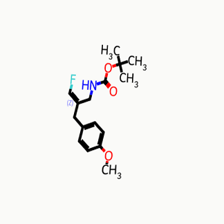 COc1ccc(C/C(=C/F)CNC(=O)OC(C)(C)C)cc1